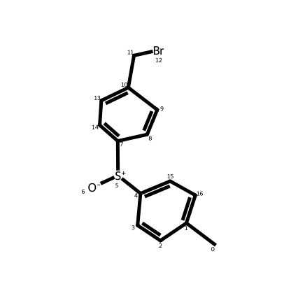 Cc1ccc([S+]([O-])c2ccc(CBr)cc2)cc1